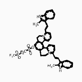 Cc1[nH]c2ccccc2c1/C=C/c1cccc2[n+]1CCc1ccc3c(c1-2)-c1cccc(/C=C/c2c(C)[nH]c4ccccc24)[n+]1CC3.O=S(=O)([O-])C(F)(F)F.O=S(=O)([O-])C(F)(F)F